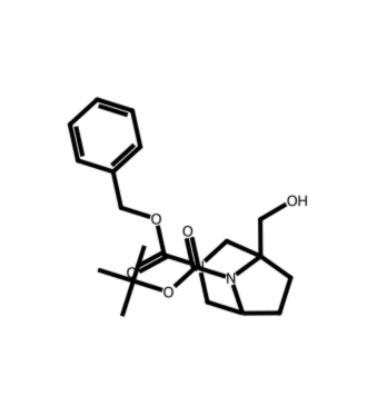 CC(C)(C)OC(=O)N1C2CCC1(CO)CN(C(=O)OCc1ccccc1)C2